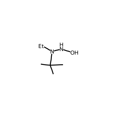 CCN(NO)C(C)(C)C